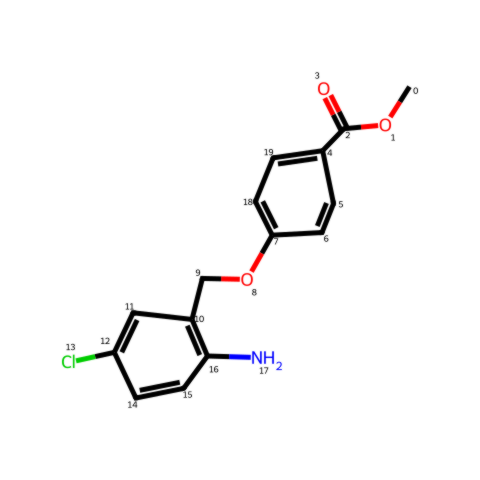 COC(=O)c1ccc(OCc2cc(Cl)ccc2N)cc1